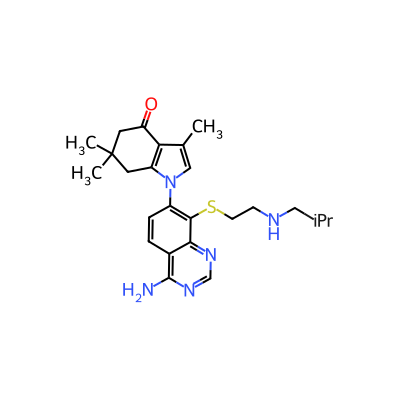 Cc1cn(-c2ccc3c(N)ncnc3c2SCCNCC(C)C)c2c1C(=O)CC(C)(C)C2